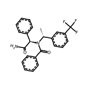 C[C@H](c1cccc(C(F)(F)F)c1)N(C(=O)c1ccccc1)[C@@H](C(N)=O)c1ccccc1